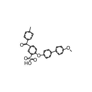 COc1ccc(-c2ccc(Oc3ccc(C(=O)c4ccc(C)cc4)cc3S(=O)(=O)O)cc2)cc1